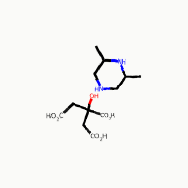 CC1CNCC(C)N1.O=C(O)CC(O)(CC(=O)O)C(=O)O